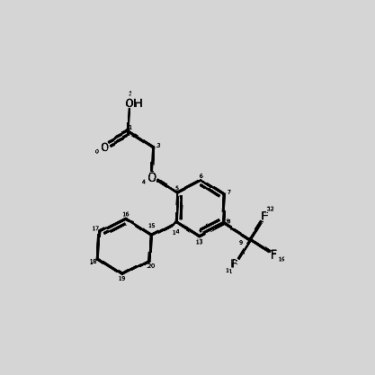 O=C(O)COc1ccc(C(F)(F)F)cc1C1C=CCCC1